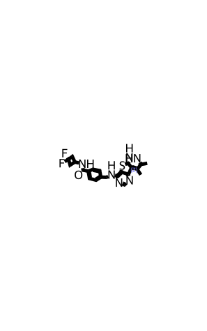 CC(=N)/C(C)=C1\C(=N)Sc2c(NCc3ccc(C(=O)NC4CC(F)(F)C4)cc3)ncnc21